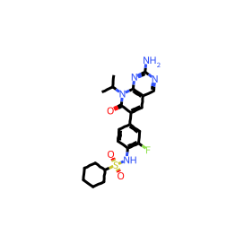 CC(C)n1c(=O)c(-c2ccc(NS(=O)(=O)C3CCCCC3)c(F)c2)cc2cnc(N)nc21